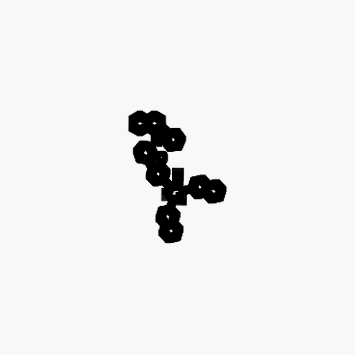 c1ccc2cc(C3=NC(c4ccc5ccccc5c4)NC(c4ccc5c(c4)oc4c(-n6c7ccccc7c7ccc8ccccc8c76)cccc45)=N3)ccc2c1